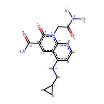 CCN(CC)C(=O)Cn1c(=O)c(C(N)=O)cc2c(NCC3CC3)ccnc21